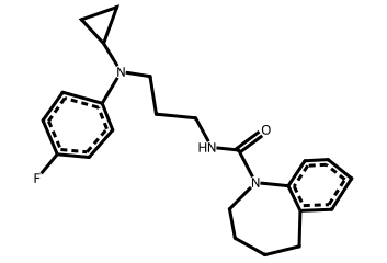 O=C(NCCCN(c1ccc(F)cc1)C1CC1)N1CCCCc2ccccc21